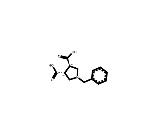 O=C(O)[C@H]1CN(Cc2ccccc2)C[C@@H]1C(=O)O